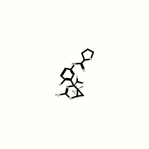 NC1=N[C@@](c2cc(NC(=O)C3CCCO3)ccc2F)(C(F)F)[C@H]2C[C@H]2O1